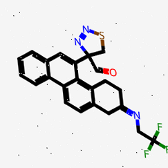 O=CC1(c2cc3ccccc3c3ccc4c(c23)CCC(=NCC(F)(F)F)C4)CSN=N1